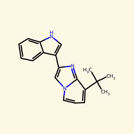 CC(C)(C)c1cccn2cc(-c3c[nH]c4ccccc34)nc12